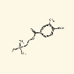 CC(=O)Oc1ccc(C(=O)OCC[Si](C)(C)C)cc1C